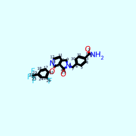 NC(=O)c1ccc(CN2Cc3ccnc(Oc4ccc(C(F)(F)F)cc4F)c3C2=O)cc1